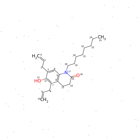 C=CCc1cc2c(c(CC=C)c1O)CCC(=O)N2CCCCCCCC